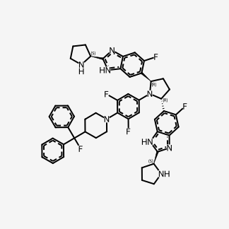 Fc1cc2nc([C@@H]3CCCN3)[nH]c2cc1[C@H]1CC[C@H](c2cc3[nH]c([C@@H]4CCCN4)nc3cc2F)N1c1cc(F)c(N2CCC(C(F)(c3ccccc3)c3ccccc3)CC2)c(F)c1